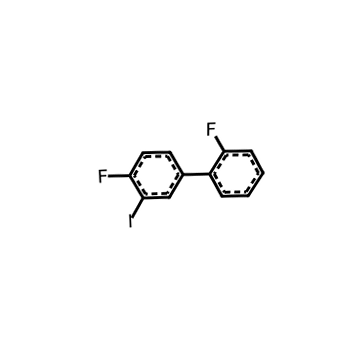 Fc1ccc(-c2ccccc2F)cc1I